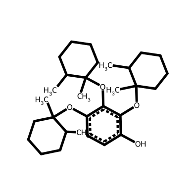 CC1CCCCC1(C)Oc1ccc(O)c(OC2(C)CCCCC2C)c1OC1(C)CCCCC1C